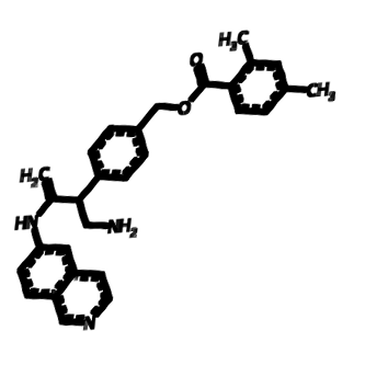 C=C(Nc1ccc2cnccc2c1)C(CN)c1ccc(COC(=O)c2ccc(C)cc2C)cc1